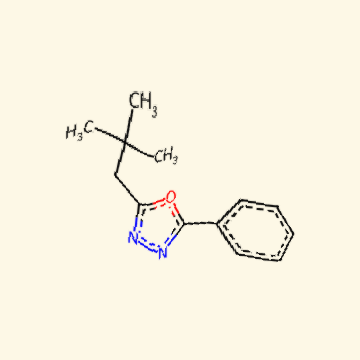 CC(C)(C)Cc1nnc(-c2ccccc2)o1